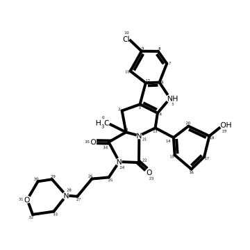 CC12Cc3c([nH]c4ccc(Cl)cc34)C(c3cccc(O)c3)N1C(=O)N(CCCN1CCOCC1)C2=O